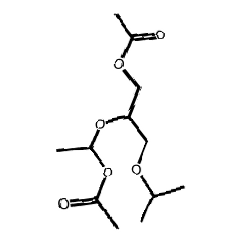 CC(=O)OCC(COC(C)C)OC(C)OC(C)=O